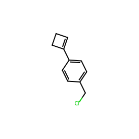 ClCc1ccc(C2=CCC2)cc1